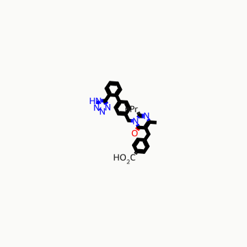 CCCc1nc(C)c(Cc2ccc(C(=O)O)cc2)c(=O)n1Cc1ccc(-c2ccccc2-c2nnn[nH]2)cc1